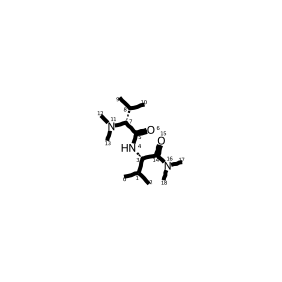 CC(C)[C@H](NC(=O)[C@@H](C(C)C)N(C)C)C(=O)N(C)C